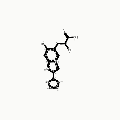 O=C(O)C(O)Cc1cn2cc(-c3nnn[nH]3)nc2cc1Br